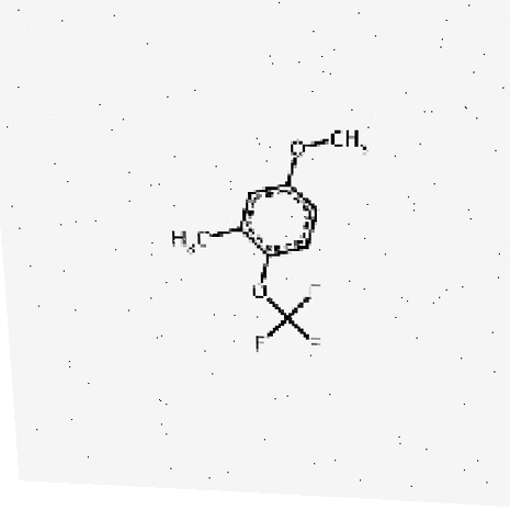 COc1ccc(OC(F)(F)F)c(C)c1